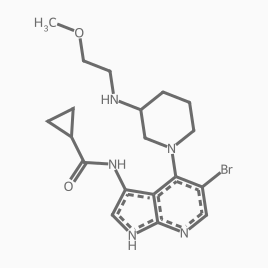 COCCNC1CCCN(c2c(Br)cnc3[nH]cc(NC(=O)C4CC4)c23)C1